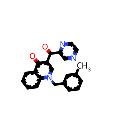 Cc1cccc(Cn2cc(C(=O)c3cnccn3)c(=O)c3ccccc32)c1